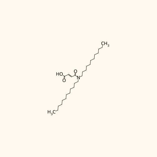 CCCCCCCCCCCCN(CCCCCCCCCCCC)C(=O)C=CC(=O)O